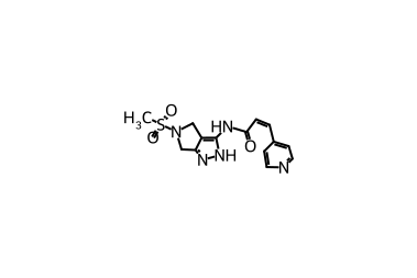 CS(=O)(=O)N1Cc2n[nH]c(NC(=O)/C=C\c3ccncc3)c2C1